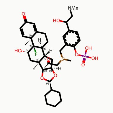 CNCC(O)c1ccc(OP(=O)(O)O)c(C[S+](C)CC(=O)[C@@]23O[C@H](C4CCCCC4)O[C@@H]2C[C@H]2[C@@H]4CCC5=CC(=O)C=C[C@]5(C)[C@@]4(F)[C@@H](O)C[C@@]23C)c1